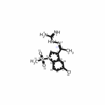 C/C(=N/NC(=N)N)c1cn(S(C)(=O)=O)c2ccc(Cl)cc12